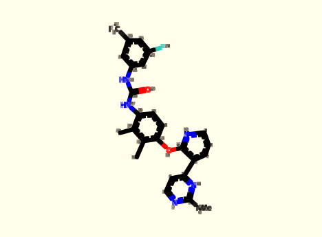 CNc1nccc(-c2cccnc2Oc2ccc(NC(=O)Nc3cc(F)cc(C(F)(F)F)c3)c(C)c2C)n1